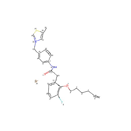 CCCCCCCCCCCCCCOc1c(F)cccc1CC(=O)Nc1ccc(C[n+]2csc(C)c2)cc1.[Br-]